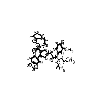 CCCC(CCC)N(C(=O)CN1C[C@H](c2ccc3c(c2)OCO3)[C@@H](C(=O)O)[C@@H]1CCCN1CCCC1=O)c1ccc(F)c(C)c1